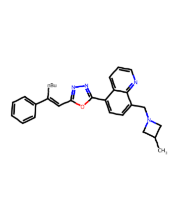 CCCC/C(=C\c1nnc(-c2ccc(CN3CC(C)C3)c3ncccc23)o1)c1ccccc1